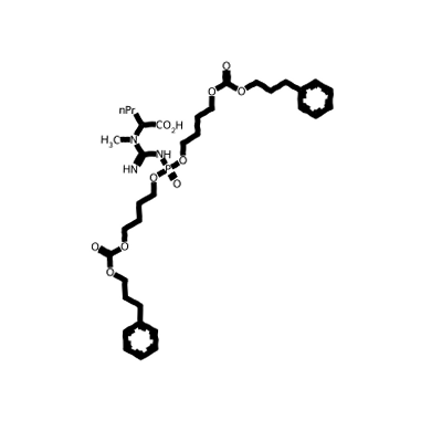 CCCC(C(=O)O)N(C)C(=N)NP(=O)(OCCCCOC(=O)OCCCc1ccccc1)OCCCCOC(=O)OCCCc1ccccc1